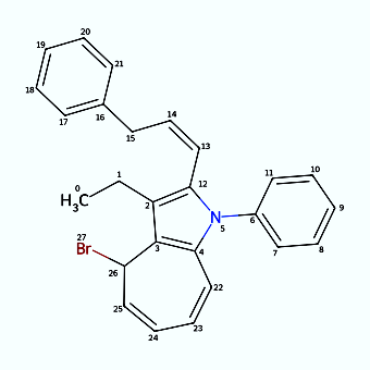 CCc1c2c(n(-c3ccccc3)c1/C=C\Cc1ccccc1)C=CC=CC2Br